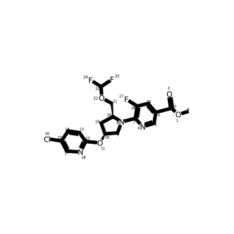 COC(=O)c1cnc(N2C[C@@H](Oc3ccc(Cl)cn3)C[C@H]2COC(F)F)c(F)c1